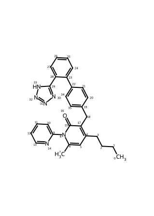 CCCCc1cc(C)n(-c2ccccn2)c(=O)c1Cc1ccc(-c2ccccc2-c2nnn[nH]2)cc1